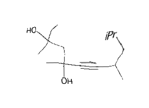 CC(C)CC(C)C#CC(C)(O)CC(C)(C)O